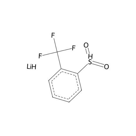 O=[SH](=O)c1ccccc1C(F)(F)F.[LiH]